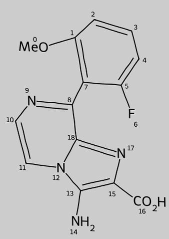 COc1cccc(F)c1-c1nccn2c(N)c(C(=O)O)nc12